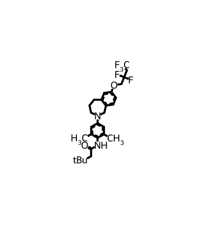 Cc1cc(N2CCCc3cc(OCC(F)(F)CC(F)(F)F)ccc3C2)cc(C)c1NC(=O)CC(C)(C)C